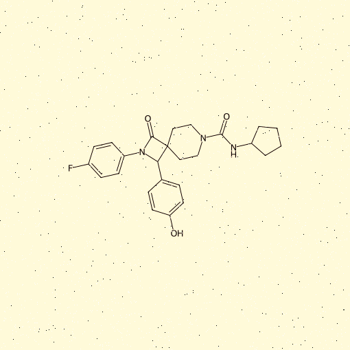 O=C(NC1CCCC1)N1CCC2(CC1)C(=O)N(c1ccc(F)cc1)C2c1ccc(O)cc1